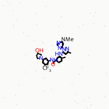 CNc1cc(-n2nc(C)cc2Nc2cc(C(=O)Nc3cc(N4CCC(O)C4)cc(C(F)(F)F)c3)ccc2C)ncn1